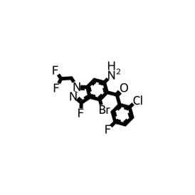 Nc1cc2c(c(F)nn2CC(F)F)c(Br)c1C(=O)c1cc(F)ccc1Cl